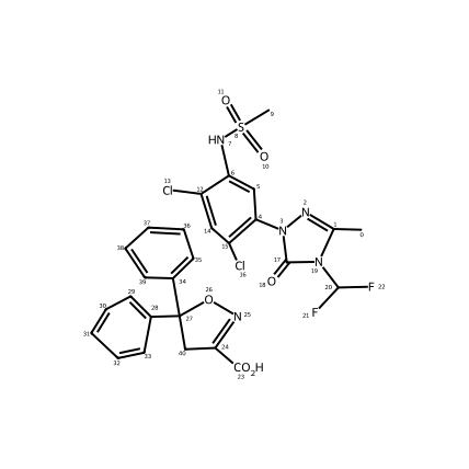 Cc1nn(-c2cc(NS(C)(=O)=O)c(Cl)cc2Cl)c(=O)n1C(F)F.O=C(O)C1=NOC(c2ccccc2)(c2ccccc2)C1